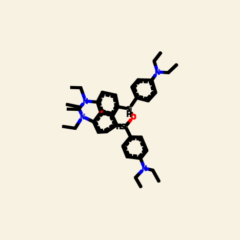 CCN(CC)c1ccc([SiH](O[SiH](c2ccc(N(CC)CC)cc2)c2ccc(N(CC)CC)cc2)c2ccc(N(CC)CC)cc2)cc1